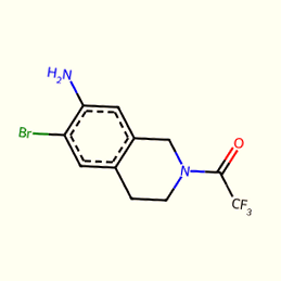 Nc1cc2c(cc1Br)CCN(C(=O)C(F)(F)F)C2